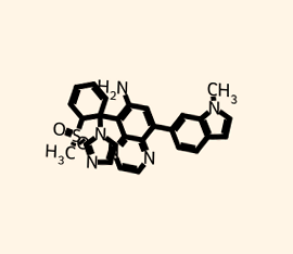 Cn1ccc2ccc(-c3cc(N)c(C4(n5ccnc5)C=CC=CC4S(C)(=O)=O)c4nccnc34)cc21